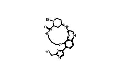 CCN1CC[C@H]2C[C@H]1C(=O)NCCCOc1c(-c3cnc(CO)s3)ccc3ncc(nc13)N2